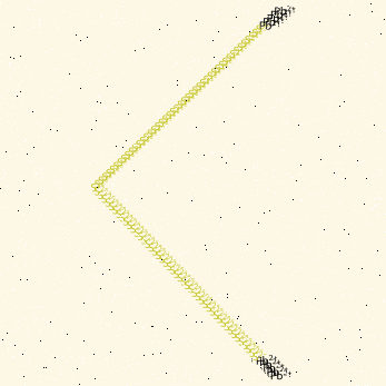 [Pb+2].[Pb+2].[Pb+2].[Pb+2].[Pb+2].[Pb+2].[Pb+2].[Pb+2].[Pb+2].[Pb+2].[S-2].[S-2].[S-2].[S-2].[S-2].[S-2].[S-2].[S-2].[S-2].[S-2].[S-2].[S-2].[S-2].[S-2].[S-2].[S-2].[S-2].[S-2].[S-2].[S-2].[S-2].[S-2].[S-2].[S-2].[S-2].[S-2].[S-2].[S-2].[S-2].[S-2].[S-2].[S-2].[S-2].[S-2].[S-2].[S-2].[S-2].[S-2].[S-2].[S-2].[S-2].[S-2].[S-2].[S-2].[S-2].[S-2].[S-2].[S-2].[S-2].[S-2].[S-2].[S-2].[S-2].[S-2].[S-2].[S-2].[S-2].[S-2].[S-2].[S-2].[S-2].[S-2].[S-2].[S-2].[S-2].[S-2].[S-2].[S-2].[S-2].[S-2].[S-2].[S-2].[S-2].[S-2].[S-2].[S-2].[S-2].[S-2].[S-2].[S-2].[S-2].[S-2].[S-2].[S-2].[S-2].[S-2].[S-2].[S-2].[S-2].[S-2]